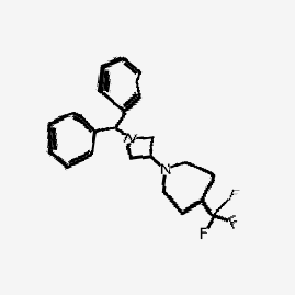 FC(F)(F)C1CCN(C2CN(C(c3ccccc3)c3ccccc3)C2)CC1